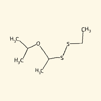 CCSSC(C)OC(C)C